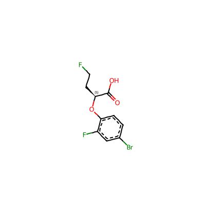 O=C(O)[C@H](CCF)Oc1ccc(Br)cc1F